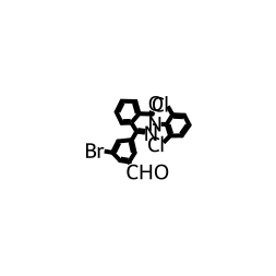 O=Cc1cc(Br)cc(-c2nn(-c3c(Cl)cccc3Cl)c(=O)c3ccccc23)c1